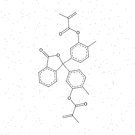 C=C(C)C(=O)Oc1cc(C2(c3ccc(C)c(OC(=O)C(=C)C)c3)OC(=O)c3ccccc32)ccc1C